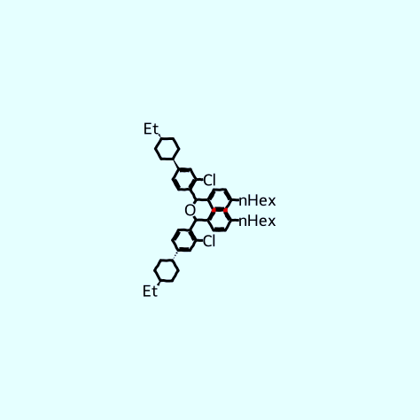 CCCCCCc1ccc(C(OC(c2ccc(CCCCCC)cc2)c2ccc([C@H]3CC[C@H](CC)CC3)cc2Cl)c2ccc([C@H]3CC[C@H](CC)CC3)cc2Cl)cc1